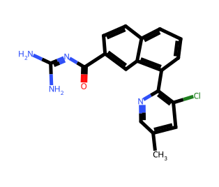 Cc1cnc(-c2cccc3ccc(C(=O)N=C(N)N)cc23)c(Cl)c1